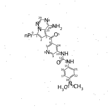 CCCc1cc(C(=O)c2cncc(NC(=O)Nc3ccc(N(C)C)cc3)c2)c2c(N)ncnn12